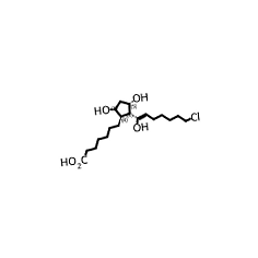 O=C(O)CCCCCC[C@@H]1[C@@H](C(O)=CCCCCCCl)[C@@H](O)C[C@@H]1O